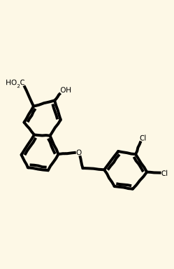 O=C(O)c1cc2cccc(OCc3ccc(Cl)c(Cl)c3)c2cc1O